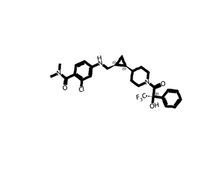 CN(C)C(=O)c1ccc(NC[C@H]2C[C@H]2C2CCN(C(=O)[C@](O)(c3ccccc3)C(F)(F)F)CC2)cc1Cl